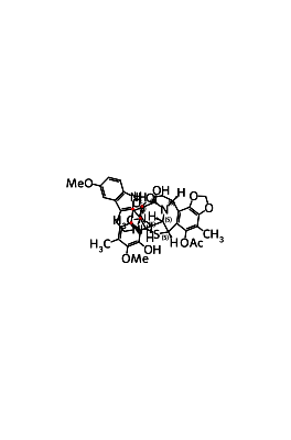 COc1ccc2[nH]c3c(c2c1)CCNC31CS[C@H]2c3c(OC(C)=O)c(C)c4c(c3[C@@H](COC1=O)N1[C@H]2[C@@H]2c3c(cc(C)c(OC)c3O)C[C@@H]([C@H]1O)N2C)OCO4